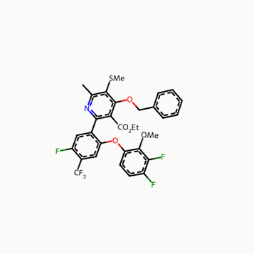 CCOC(=O)c1c(-c2cc(F)c(C(F)(F)F)cc2Oc2ccc(F)c(F)c2OC)nc(C)c(SC)c1OCc1ccccc1